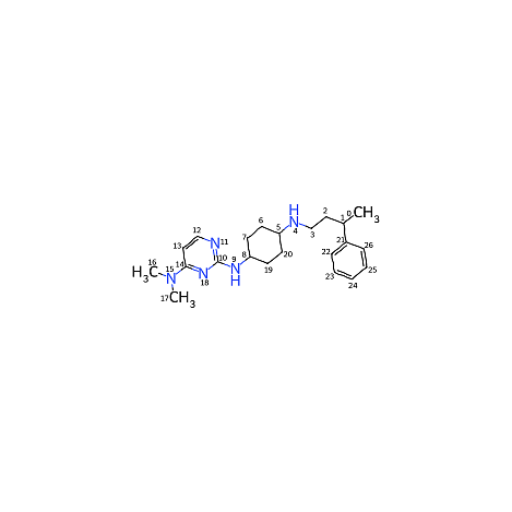 CC(CCNC1CCC(Nc2nccc(N(C)C)n2)CC1)c1ccccc1